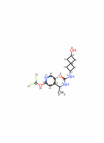 CC(NC(=O)NC1CC2(CC(O)C2)C1)c1ccnc(OC(F)F)c1